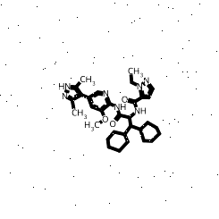 CCn1nccc1C(=O)NC(C(=O)Nc1ncc(-c2c(C)n[nH]c2C)cc1OC)C(C1CCCCC1)C1CCCCC1